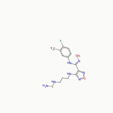 NSNCCCNc1nonc1/C(=N/O)Nc1ccc(F)c(C(F)(F)F)c1